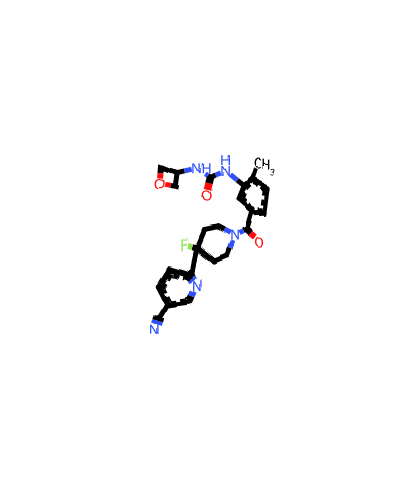 Cc1ccc(C(=O)N2CCC(F)(c3ccc(C#N)cn3)CC2)cc1NC(=O)NC1COC1